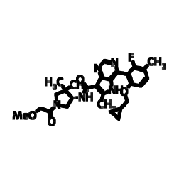 COCC(=O)N1C[C@@H](NC(=O)c2c(C)[nH]c3c(-c4c(OCC5CC5)ccc(C)c4F)ncnc23)C(C)(C)C1